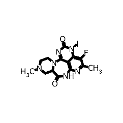 Cc1nc2c3c(nc(=O)n(I)c3c1F)N1CCN(C)CC1C(=O)N2